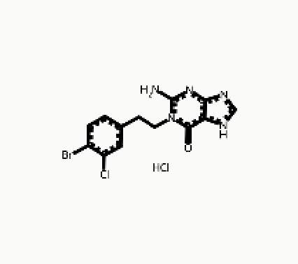 Cl.Nc1nc2nc[nH]c2c(=O)n1CCc1ccc(Br)c(Cl)c1